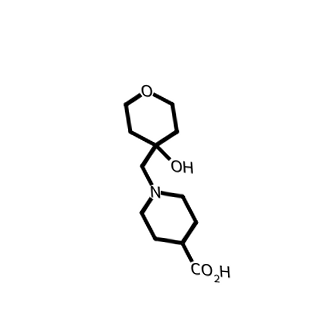 O=C(O)C1CCN(CC2(O)CCOCC2)CC1